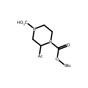 CC(=O)C1CN(C(=O)O)CCN1C(=O)OC(C)(C)C